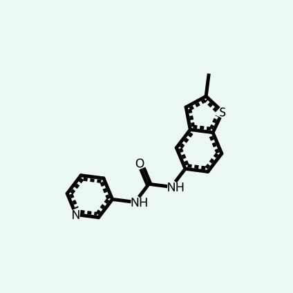 Cc1cc2cc(NC(=O)Nc3cccnc3)ccc2s1